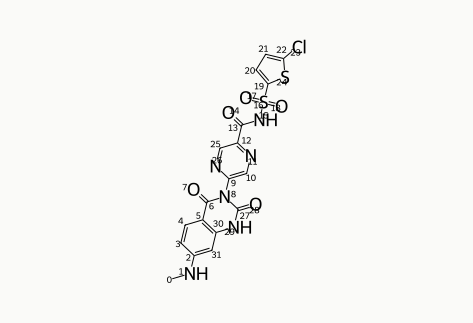 CNc1ccc2c(=O)n(-c3cnc(C(=O)NS(=O)(=O)c4ccc(Cl)s4)cn3)c(=O)[nH]c2c1